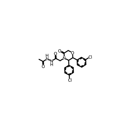 CC(=O)NNC(=O)CN1C(=O)COC(c2cccc(Cl)c2)C1c1ccc(Cl)cc1